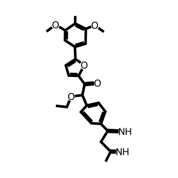 CCOC(C(=O)c1ccc(-c2cc(OC)c(C)c(OC)c2)o1)c1ccc(C(=N)CC(C)=N)cc1